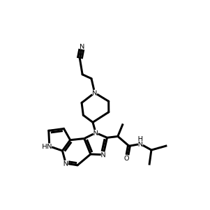 CC(C)NC(=O)C(C)c1nc2cnc3[nH]ccc3c2n1C1CCN(CCC#N)CC1